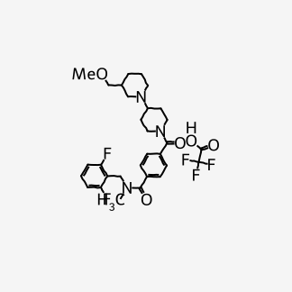 COCC1CCCN(C2CCN(C(=O)c3ccc(C(=O)N(C)Cc4c(F)cccc4F)cc3)CC2)C1.O=C(O)C(F)(F)F